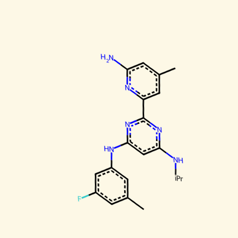 Cc1cc(F)cc(Nc2cc(NC(C)C)nc(-c3cc(C)cc(N)n3)n2)c1